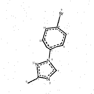 Cc1ncn(-c2ccc(Br)cc2)n1